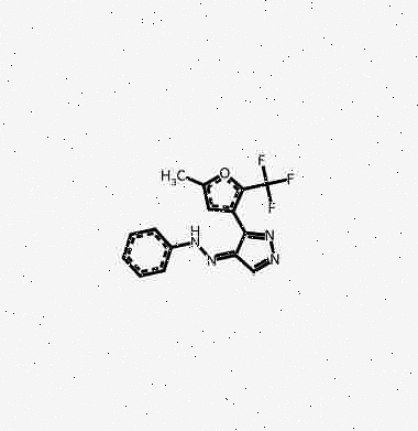 Cc1cc(C2=NN=[C]C2=NNc2ccccc2)c(C(F)(F)F)o1